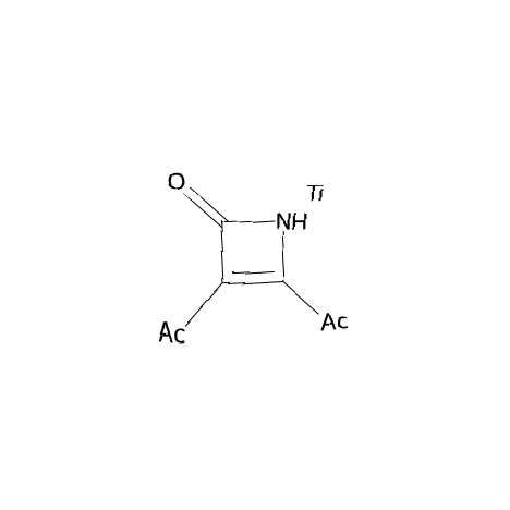 CC(=O)C1=C(C(C)=O)C(=O)N1.[Ti]